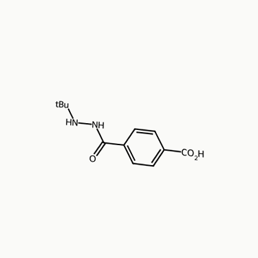 CC(C)(C)NNC(=O)c1ccc(C(=O)O)cc1